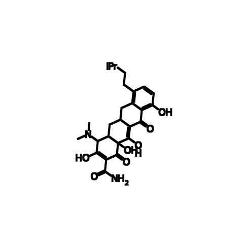 CC(C)CCc1ccc(O)c2c1CC1CC3C(N(C)C)C(O)=C(C(N)=O)C(=O)C3(O)C(O)=C1C2=O